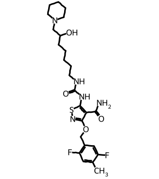 Cc1cc(F)c(COc2nsc(NC(=O)NCCCCCC(O)CN3CCCCC3)c2C(N)=O)cc1F